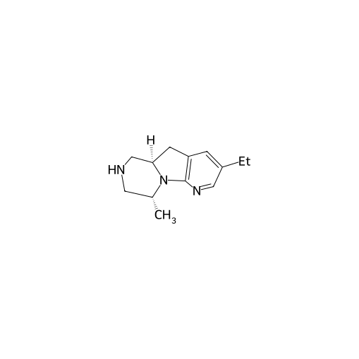 CCc1cnc2c(c1)C[C@@H]1CNC[C@@H](C)N21